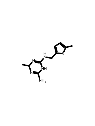 Cc1ccc(CNC2=NC(C)N=C(N)N2)s1